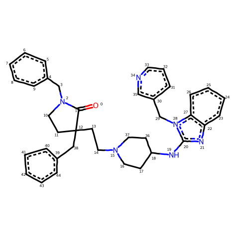 O=C1N(Cc2ccccc2)CCC1(CCN1CCC(Nc2nc3ccccc3n2Cc2cccnc2)CC1)Cc1ccccc1